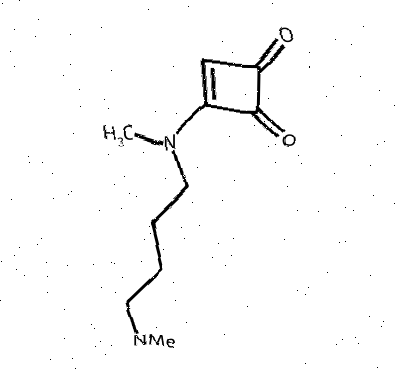 CNCCCCN(C)c1cc(=O)c1=O